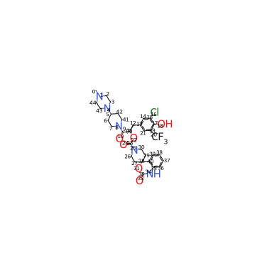 CN1CCN(C2CCN(C(=O)[C@@H](Cc3cc(Cl)c(O)c(C(F)(F)F)c3)OC(=O)N3CCC4(CC3)OC(=O)Nc3ccccc34)CC2)CC1